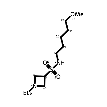 CCN1CC(S(=O)(=O)NCCCCCOC)C1